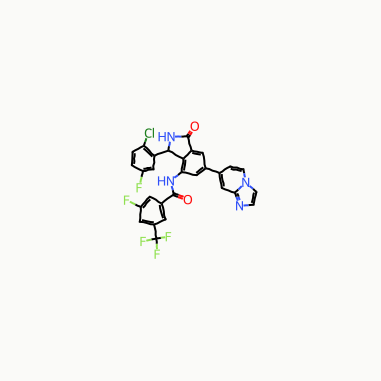 O=C(Nc1cc(-c2ccn3ccnc3c2)cc2c1C(c1cc(F)ccc1Cl)NC2=O)c1cc(F)cc(C(F)(F)F)c1